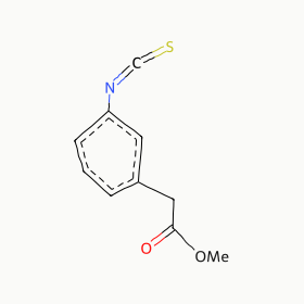 COC(=O)Cc1cccc(N=C=S)c1